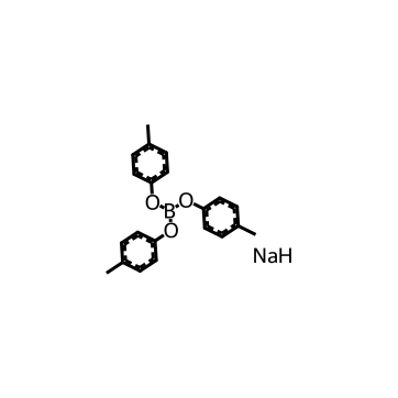 Cc1ccc(OB(Oc2ccc(C)cc2)Oc2ccc(C)cc2)cc1.[NaH]